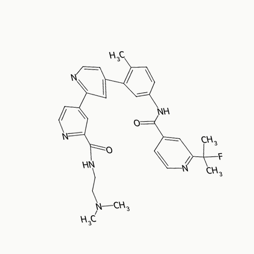 Cc1ccc(NC(=O)c2ccnc(C(C)(C)F)c2)cc1-c1ccnc(-c2ccnc(C(=O)NCCN(C)C)c2)c1